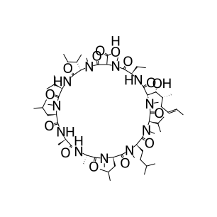 C/C=C/C[C@@H](C)[C@@H](O)[C@H]1C(=O)N[C@H](CC)C(=O)N(C)C(C(=O)O)C(=O)N(C)[C@@H](C(C)CC)C(=O)N[C@H](C(C)C)C(=O)N(C)[C@H](CC(C)C)C(=O)N[C@H](C)C(=O)N[C@@H](C)C(=O)N(C)[C@H](CC(C)C)C(=O)N(C)[C@H](CCC(C)C)C(=O)N(C)[C@H](C(C)C)C(=O)N1C